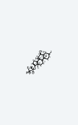 C[C@H]1CC[C@]2(C)[C@@]3(C)CC[C@]4(C)C(OS(=O)(=O)C(F)(F)F)=CC[C@@]4(C)[C@@H]3CC(=O)[C@@]2(C)C1